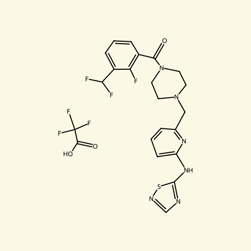 O=C(O)C(F)(F)F.O=C(c1cccc(C(F)F)c1F)N1CCN(Cc2cccc(Nc3ncns3)n2)CC1